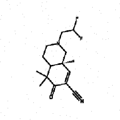 CC1(C)C(=O)C(C#N)=C[C@]2(C)CN(CC(F)F)CCC12